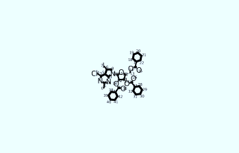 Cc1nc(Cl)c2c(I)cn([C@@H]3O[C@H](COC(=O)c4ccccc4)[C@@H](OC(=O)c4ccccc4)[C@H]3OC(=O)c3ccccc3)c2n1